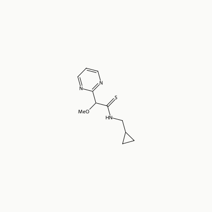 COC(C(=S)NCC1CC1)c1ncccn1